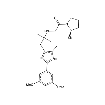 COc1cc(OC)cc(-c2nc(CC(C)(C)NCC(=O)N3CCC[C@H]3C#N)c(C)[nH]2)c1